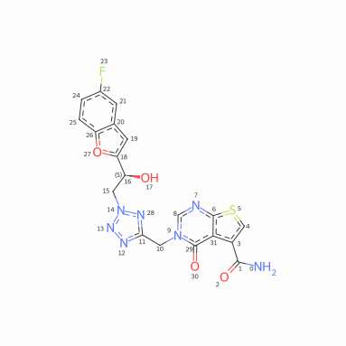 NC(=O)c1csc2ncn(Cc3nnn(C[C@H](O)c4cc5cc(F)ccc5o4)n3)c(=O)c12